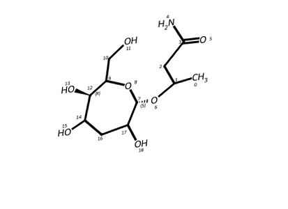 CC(CC(N)=O)O[C@H]1OC(CO)[C@H](O)C(O)CC1O